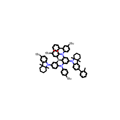 Cc1ccccc1-c1ccc2c(c1)C1(C)CCCCC1(C)N2c1cc2c3c(c1)N(c1ccc(C(C)(C)C)cc1-c1ccccc1)c1ccc(C(C)(C)C)cc1B3c1cc(N3c4ccc(C(C)(C)C)cc4C4(C)CCCCC34C)ccc1N2c1ccc(C(C)(C)C)cc1